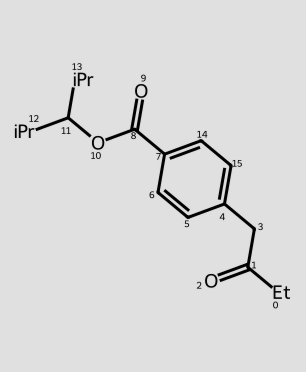 CCC(=O)Cc1ccc(C(=O)OC(C(C)C)C(C)C)cc1